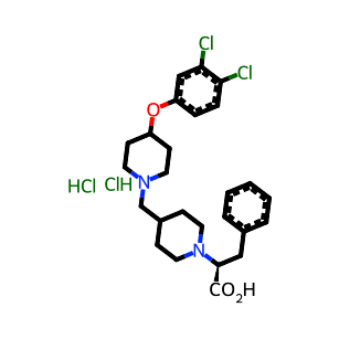 Cl.Cl.O=C(O)[C@H](Cc1ccccc1)N1CCC(CN2CCC(Oc3ccc(Cl)c(Cl)c3)CC2)CC1